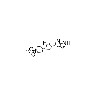 CC(C)(C)OC(=O)N1CCC(c2ccc(-c3cnc4[nH]ccc4c3)cc2F)CC1